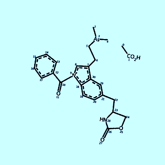 CC(=O)O.C[As](C)CCc1cn(C(=O)c2ccccc2)c2ccc(CC3COC(=O)N3)cc12